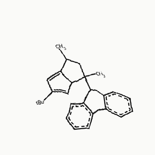 CC1CC(C)(C2c3ccccc3-c3ccccc32)C2C=C(C(C)(C)C)C=C12